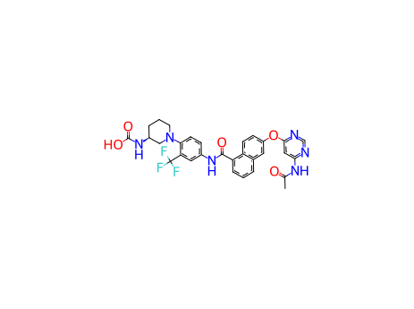 CC(=O)Nc1cc(Oc2ccc3c(C(=O)Nc4ccc(N5CCC[C@H](NC(=O)O)C5)c(C(F)(F)F)c4)cccc3c2)ncn1